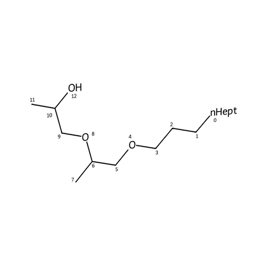 CCCCCCCCCCOCC(C)OCC(C)O